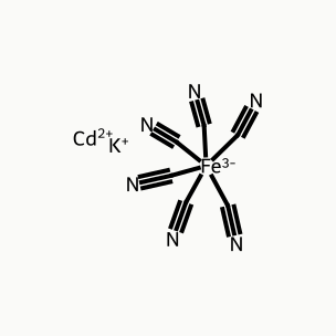 N#[C][Fe-3]([C]#N)([C]#N)([C]#N)([C]#N)[C]#N.[Cd+2].[K+]